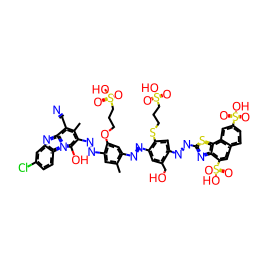 Cc1cc(N=Nc2c(C)c(C#N)c3nc4cc(Cl)ccc4n3c2O)c(OCCCS(=O)(=O)O)cc1N=Nc1cc(CO)c(N=Nc2nc3c(S(=O)(=O)O)cc4ccc(S(=O)(=O)O)cc4c3s2)cc1SCCCS(=O)(=O)O